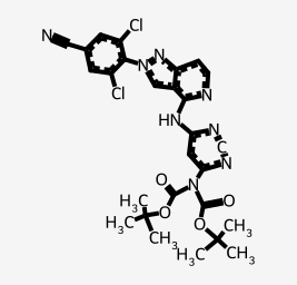 CC(C)(C)OC(=O)N(C(=O)OC(C)(C)C)c1cc(Nc2nccc3nn(-c4c(Cl)cc(C#N)cc4Cl)cc23)ncn1